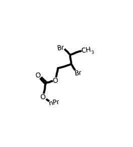 CCCOC(=O)OCC(Br)C(C)Br